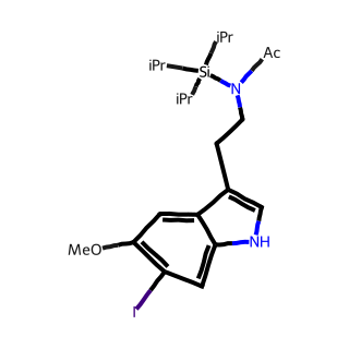 COc1cc2c(CCN(C(C)=O)[Si](C(C)C)(C(C)C)C(C)C)c[nH]c2cc1I